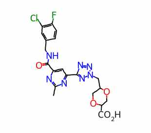 Cc1nc(C(=O)NCc2ccc(F)c(Cl)c2)cc(-c2nnn(CC3COC(C(=O)O)CO3)n2)n1